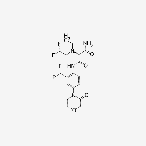 CCN(CC(F)F)[C@@H](C(N)=O)C(=O)Nc1ccc(N2CCOCC2=O)cc1C(F)F